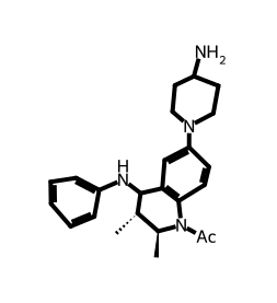 CC(=O)N1c2ccc(N3CCC(N)CC3)cc2C(Nc2ccccc2)[C@@H](C)[C@@H]1C